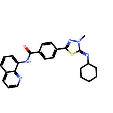 Cn1nc(-c2ccc(C(=O)Nc3cccc4cccnc34)cc2)sc1=NC1CCCCC1